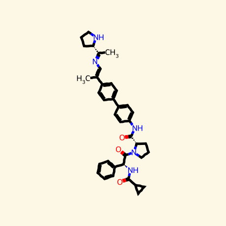 C/C(=C\N=C(/C)[C@@H]1CCCN1)c1ccc(-c2ccc(NC(=O)[C@@H]3CCCN3C(=O)[C@H](NC(=O)C3CC3)c3ccccc3)cc2)cc1